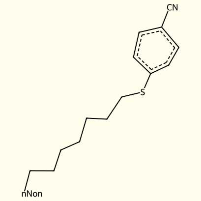 CCCCCCCCCCCCCCCCSc1ccc(C#N)cc1